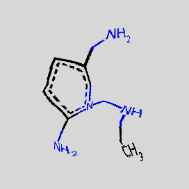 CNn1c(N)ccc1N